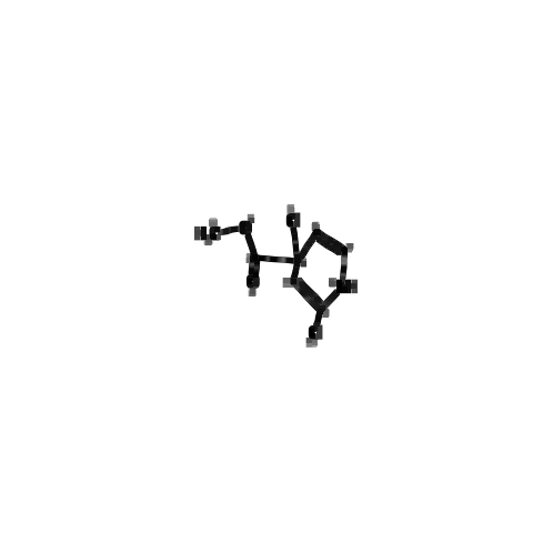 COC(=O)C1(Cl)C=CNC(Cl)=C1